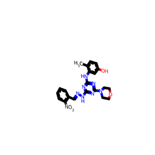 Cc1ccc(O)cc1Nc1nc(N/N=C/c2ccccc2[N+](=O)[O-])nc(N2CCOCC2)n1